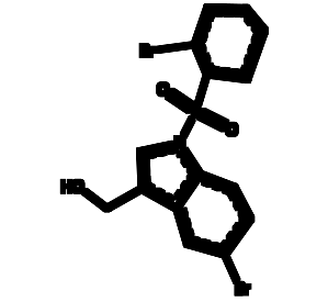 O=S(=O)(c1ccccc1Br)n1cc(CO)c2cc(Br)ccc21